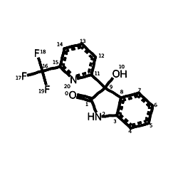 O=C1Nc2ccccc2C1(O)c1cccc(C(F)(F)F)n1